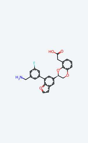 NCc1cc(F)cc(-c2cc([C@@H]3COc4cccc(CC(=O)O)c4O3)cc3ccoc23)c1